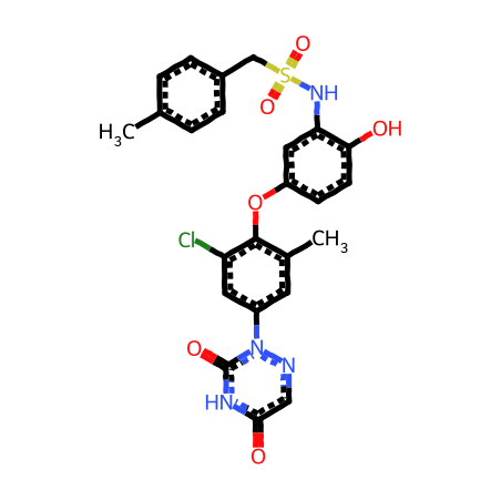 Cc1ccc(CS(=O)(=O)Nc2cc(Oc3c(C)cc(-n4ncc(=O)[nH]c4=O)cc3Cl)ccc2O)cc1